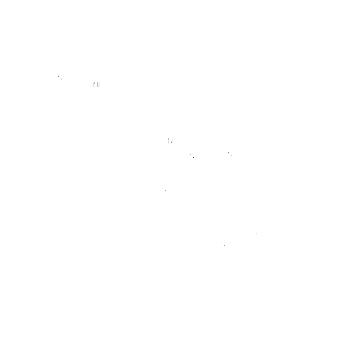 COCCC(=O)N1CCCC(C2=C3C=NC=C[N+]3(N)C(c3ccc(C(=O)Nc4ccccn4)c(F)c3)=N2)C1